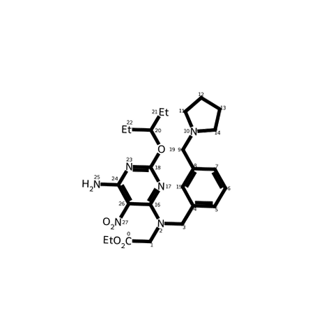 CCOC(=O)CN(Cc1cccc(CN2CCCC2)c1)c1nc(OC(CC)CC)nc(N)c1[N+](=O)[O-]